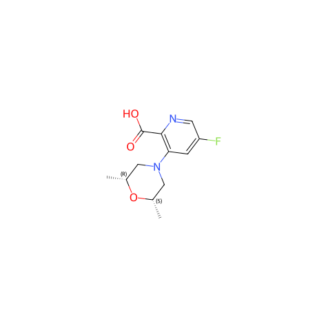 C[C@@H]1CN(c2cc(F)cnc2C(=O)O)C[C@H](C)O1